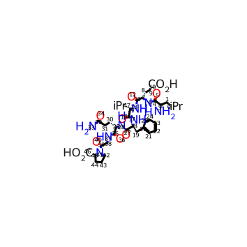 CC(C)C[C@H](N)C(=O)N[C@@H](CCC(=O)O)C(=O)N[C@H](C(=O)N[C@@H](Cc1ccccc1)C(=O)N[C@@H](CCC(N)=O)C(=O)NCC(=O)N1CCC[C@H]1C(=O)O)C(C)C